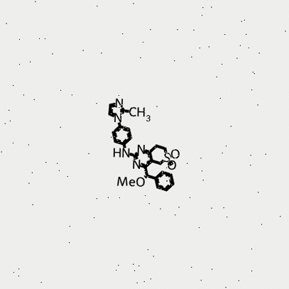 COC(c1ccccc1)c1nc(Nc2ccc(-n3ccnc3C)cc2)nc2c1CS(=O)(=O)CC2